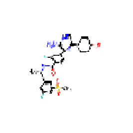 C[C@@H](NC(=O)c1ccc(-c2nc(C3CCC(O)CC3)cnc2N)cc1F)c1cc(F)cc(S(C)(=O)=O)c1